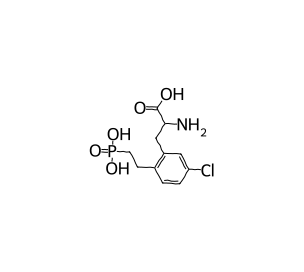 NC(Cc1cc(Cl)ccc1CCP(=O)(O)O)C(=O)O